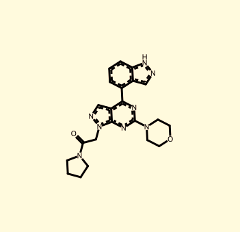 O=C(Cn1ncc2c(-c3cccc4[nH]ncc34)nc(N3CCOCC3)nc21)N1CCCC1